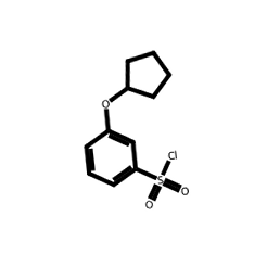 O=S(=O)(Cl)c1cccc(OC2CCCC2)c1